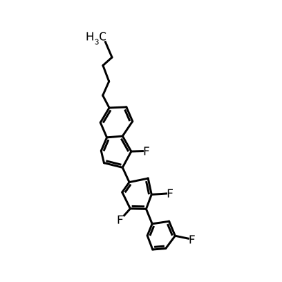 CCCCCc1ccc2c(F)c(-c3cc(F)c(-c4cccc(F)c4)c(F)c3)ccc2c1